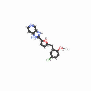 CCCCOc1ccc(Cl)cc1Cc1ccc(-c2nc3cnccc3[nH]2)o1